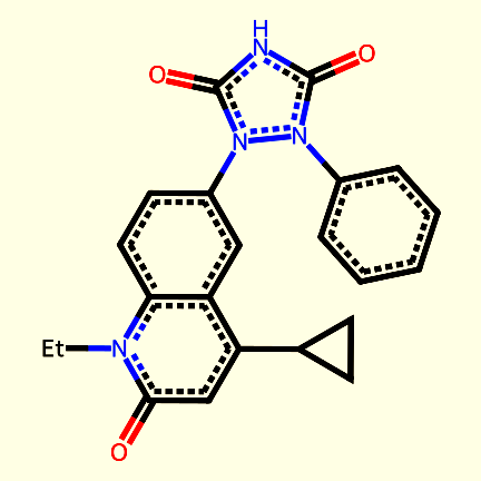 CCn1c(=O)cc(C2CC2)c2cc(-n3c(=O)[nH]c(=O)n3-c3ccccc3)ccc21